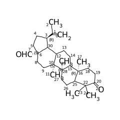 C=C(C)[C@@H]1CC[C@]2(C=O)CC[C@@]3(C)C(CCC4[C@@]5(C)CCC(=O)C(C)(C)C5CC[C@]43C)C12